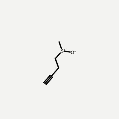 C#CCC[S+](C)[O-]